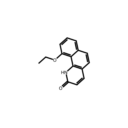 CCOc1cccc2ccc3ccc(=O)[nH]c3c12